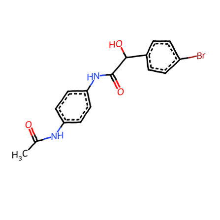 CC(=O)Nc1ccc(NC(=O)C(O)c2ccc(Br)cc2)cc1